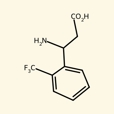 NC(CC(=O)O)c1ccccc1C(F)(F)F